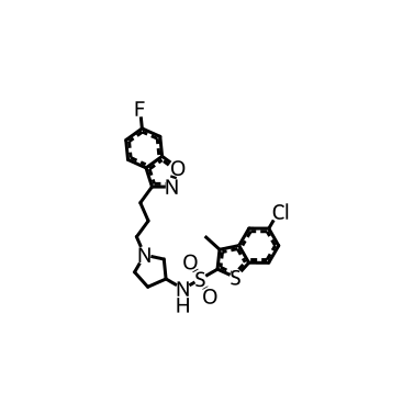 Cc1c(S(=O)(=O)NC2CCN(CCCc3noc4cc(F)ccc34)C2)sc2ccc(Cl)cc12